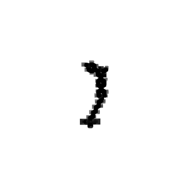 Cc1nc(-c2ccc(-c3cc[n+](CCCCCCCCP(=O)(O)O)cc3)cc2)cc(-c2cc[n+](C)cc2)n1